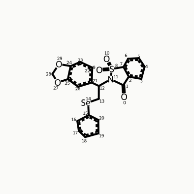 O=C1c2ccccc2S(=O)(=O)N1C(C[Se]c1ccccc1)c1ccc2c(c1)OCO2